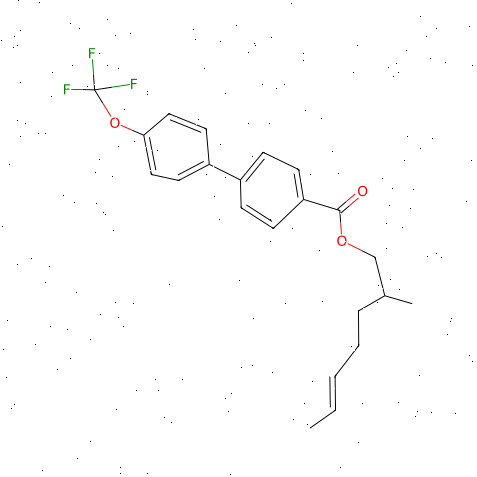 CC=CCCC(C)COC(=O)c1ccc(-c2ccc(OC(F)(F)F)cc2)cc1